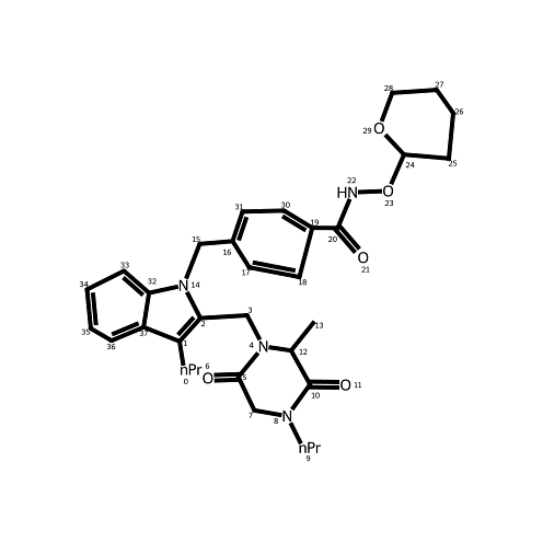 CCCc1c(CN2C(=O)CN(CCC)C(=O)C2C)n(Cc2ccc(C(=O)NOC3CCCCO3)cc2)c2ccccc12